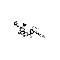 COCCCOc1cc(C(=O)N(C[C@@H]2CNC[C@H]2CN(C(=O)OC[C@H]2CCCO2)C2CC2)C(C)C)ccc1OC